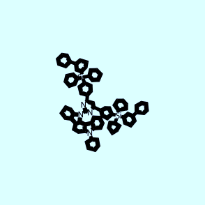 c1ccc(-c2cccc([Si](c3ccccc3)(c3ccccc3)c3ccc(-c4cc(-c5ccc([Si](c6ccccc6)(c6ccccc6)c6cccc(-c7ccccc7)c6)cc5)nc(-n5c6ccccc6c6ccc7c(c8ccccc8n7-c7ccccc7)c65)n4)cc3)c2)cc1